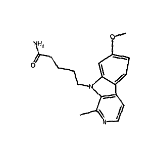 COc1ccc2c3ccnc(C)c3n(CCCCC(N)=O)c2c1